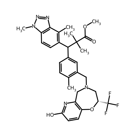 COC(=O)C(C)(C)C(c1ccc(C)c(CN2Cc3nc(O)ccc3O[C@@H](C(F)(F)F)C2)c1)c1ccc2c(nnn2C)c1C